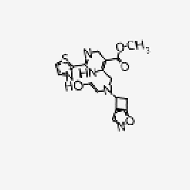 COC(=O)C1=C(CN(/C=C/O)C2Cc3oncc32)NC(c2nccs2)=NC1